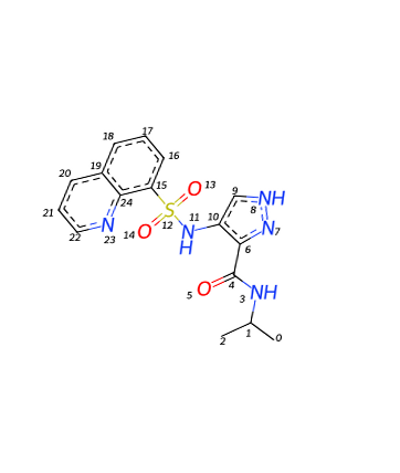 CC(C)NC(=O)c1n[nH]cc1NS(=O)(=O)c1cccc2cccnc12